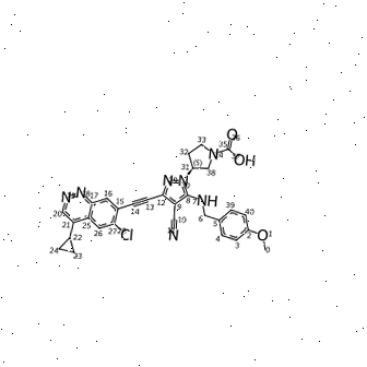 COc1ccc(CNc2c(C#N)c(C#Cc3cc4nncc(C5CC5)c4cc3Cl)nn2[C@H]2CCN(C(=O)O)C2)cc1